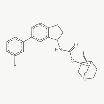 O=C(NC1CCc2ccc(-c3cccc(F)c3)cc21)O[C@H]1CN2CCC1CC2